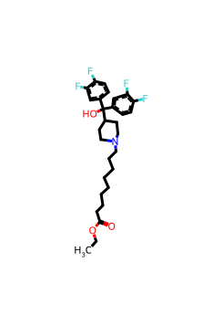 CCOC(=O)CCCCCCCCN1CCC(C(O)(c2ccc(F)c(F)c2)c2ccc(F)c(F)c2)CC1